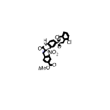 COC(=O)c1ccc(/C=C2\Sc3cc(S(=O)(=O)Cc4c(Cl)cccc4Cl)ccc3NC2=O)c([N+](=O)[O-])c1